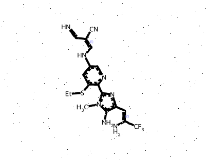 CCSc1cc(N/C=C(/C#N)C=N)cnc1-c1nc(/C=C(\N)C(F)(F)F)c(N)n1C